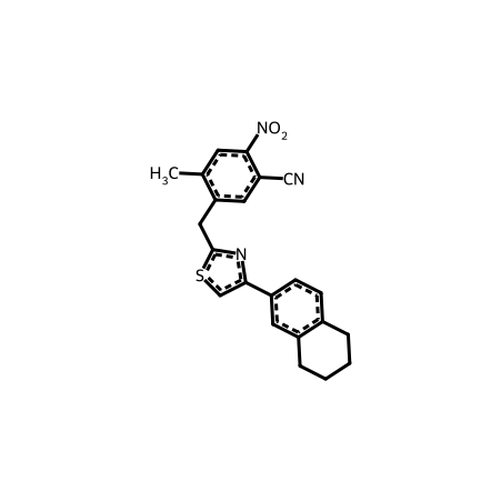 Cc1cc([N+](=O)[O-])c(C#N)cc1Cc1nc(-c2ccc3c(c2)CCCC3)cs1